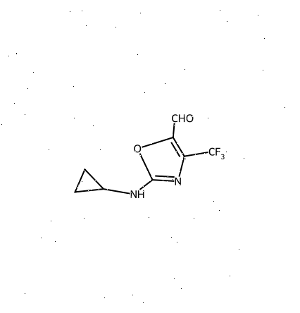 O=Cc1oc(NC2CC2)nc1C(F)(F)F